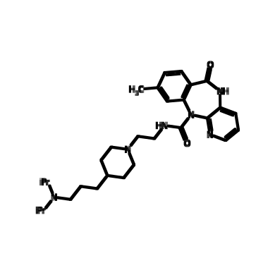 Cc1ccc2c(c1)N(C(=O)NCCN1CCC(CCCN(C(C)C)C(C)C)CC1)c1ncccc1NC2=O